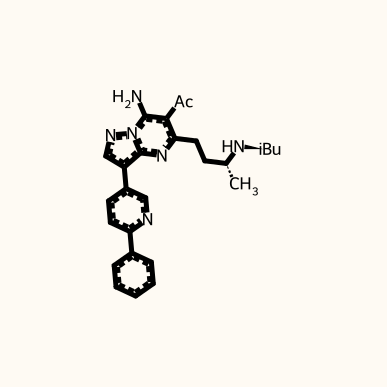 CC[C@H](C)N[C@H](C)CCc1nc2c(-c3ccc(-c4ccccc4)nc3)cnn2c(N)c1C(C)=O